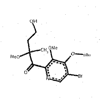 CCCCOc1c(Br)cnc(C(=O)C(C)(CCO)OC)c1OC